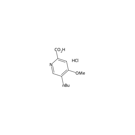 CCCCc1cnc(C(=O)O)cc1OC.Cl